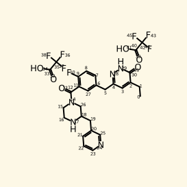 CCc1cc(Cc2ccc(F)c(C(=O)N3CCNC(Cc4cccnc4)C3)c2)n[nH]c1=O.O=C(O)C(F)(F)F.O=C(O)C(F)(F)F